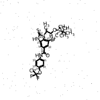 CC(CO[Si](C)(C)C(C)(C)C)n1c(=S)[nH]c2cc(C(=O)Nc3ccc(OC(F)(F)Cl)cc3)cc(Br)c21